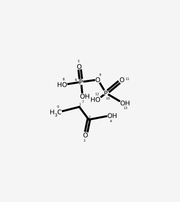 CCC(=O)O.O=P(O)(O)OP(=O)(O)O